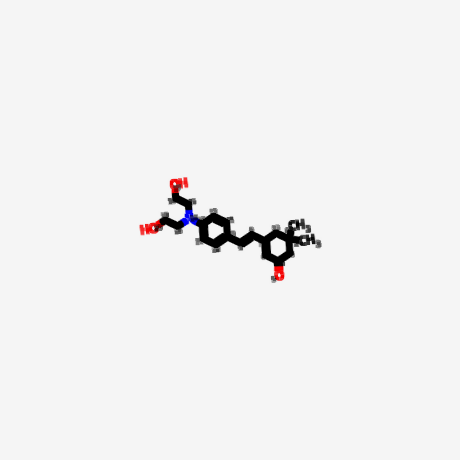 CC1(C)CC(=O)C=C(/C=C/c2ccc(N(CCO)CCO)cc2)C1